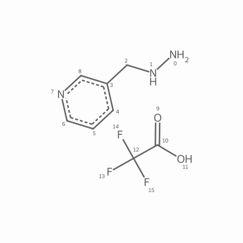 NNCc1cccnc1.O=C(O)C(F)(F)F